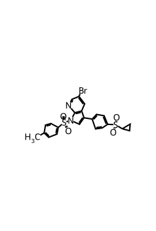 Cc1ccc(S(=O)(=O)n2cc(-c3ccc(S(=O)(=O)C4CC4)cc3)c3cc(Br)cnc32)cc1